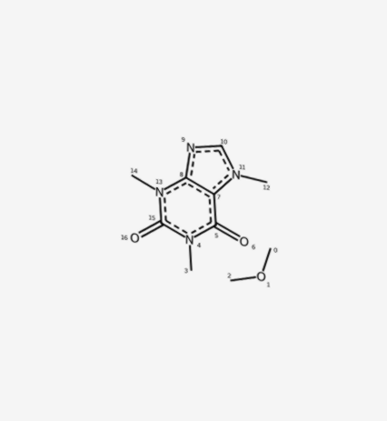 COC.Cn1c(=O)c2c(ncn2C)n(C)c1=O